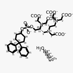 O.O=C([O-])CN(CCN(CC(=O)[O-])C[C@H](COP(=O)([O-])OC1CCC(c2ccccc2)(c2ccccc2)CC1)N(CC(=O)[O-])CC(=O)[O-])CC(=O)[O-].[Gd+3].[Na+].[Na+].[Na+]